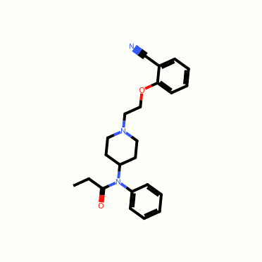 CCC(=O)N(c1ccccc1)C1CCN(CCOc2ccccc2C#N)CC1